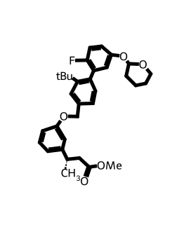 COC(=O)C[C@H](C)c1cccc(OCc2ccc(-c3cc(OC4CCCCO4)ccc3F)c(C(C)(C)C)c2)c1